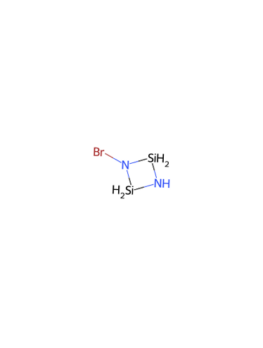 BrN1[SiH2]N[SiH2]1